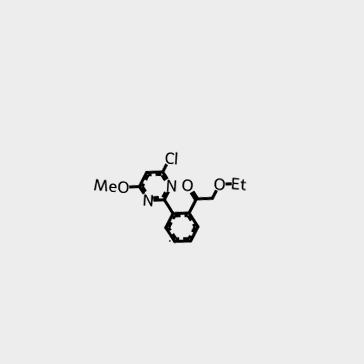 CCOCC(=O)c1cc[c]cc1-c1nc(Cl)cc(OC)n1